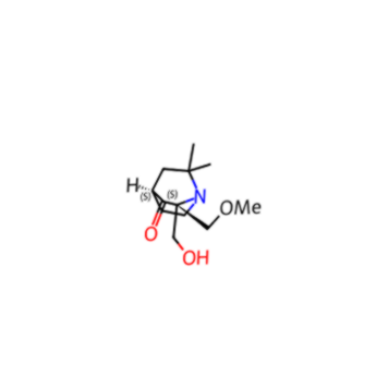 COC[C@@]1(CO)C(=O)[C@H]2CCN1C(C)(C)C2